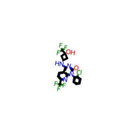 O=c1nc(N[C@H]2C[C@](O)(C(F)(F)F)C2)c2ccc(C(F)(F)F)nc2n1-c1ccccc1Cl